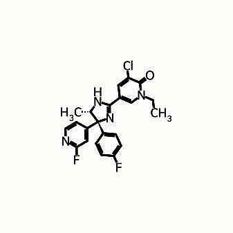 CCn1cc(C2=N[C@](c3ccc(F)cc3)(c3ccnc(F)c3)[C@H](C)N2)cc(Cl)c1=O